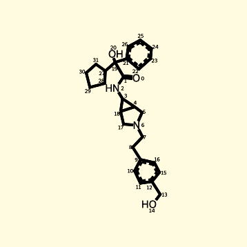 O=C(NC1C2CN(CCc3ccc(CO)cc3)CC21)C(O)(c1ccccc1)C1CCCC1